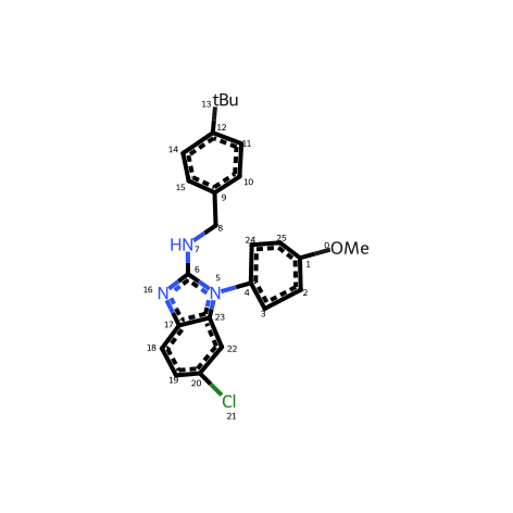 COc1ccc(-n2c(NCc3ccc(C(C)(C)C)cc3)nc3ccc(Cl)cc32)cc1